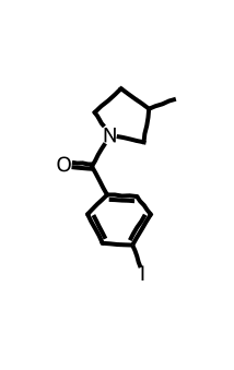 CC1CCN(C(=O)c2ccc(I)cc2)C1